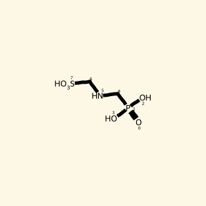 O=P(O)(O)CNCS(=O)(=O)O